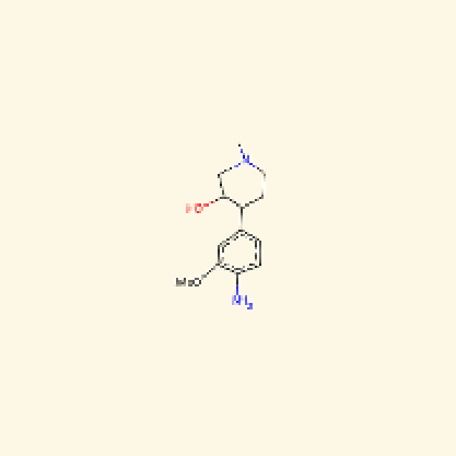 COc1cc(C2CCN(C)CC2O)ccc1N